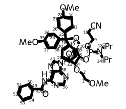 COCCO[C@@H]1[C@H](OP(OCCC#N)N(C(C)C)C(C)C)[C@@H](COC(c2ccccc2)(c2ccc(OC)cc2)c2ccc(OC)cc2)O[C@H]1n1cnc2c(NC(=O)c3ccccc3)ncnc21